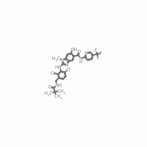 Cn1c(Nc2c(Cl)ccc(CNC(=O)C(C)(C)C)c2Cl)nc2cc(C(=O)Nc3ccc(C(F)(F)F)cn3)c(O)cc21